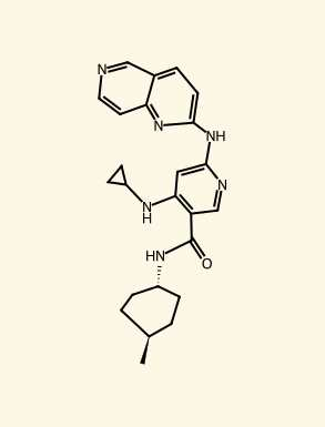 C[C@H]1CC[C@H](NC(=O)c2cnc(Nc3ccc4cnccc4n3)cc2NC2CC2)CC1